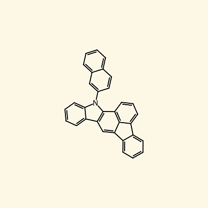 c1ccc2c(c1)-c1cccc3c1c-2cc1c2ccccc2n(-c2ccc4ccccc4c2)c31